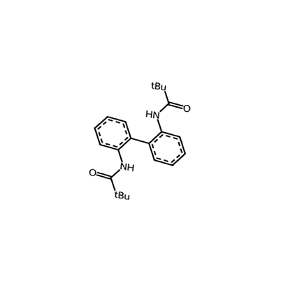 CC(C)(C)C(=O)Nc1ccccc1-c1ccccc1NC(=O)C(C)(C)C